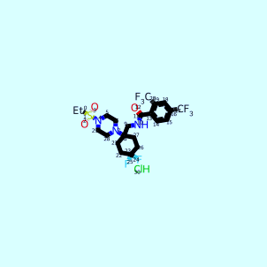 CCS(=O)(=O)N1CCN(C2(CNC(=O)c3ccc(C(F)(F)F)cc3C(F)(F)F)CCC(F)(F)CC2)CC1.Cl